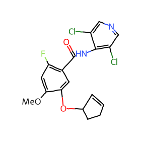 COc1cc(F)c(C(=O)Nc2c(Cl)cncc2Cl)cc1OC1C=CCC1